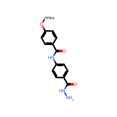 CCCCCCOc1ccc(C(=O)Nc2ccc(C(=O)NN)cc2)cc1